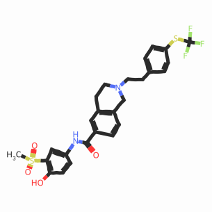 CS(=O)(=O)c1cc(NC(=O)c2ccc3c(c2)CCN(CCc2ccc(SC(F)(F)F)cc2)C3)ccc1O